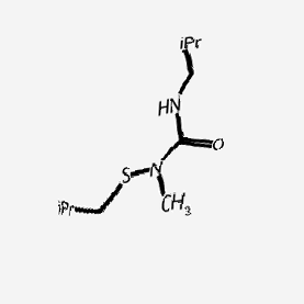 CC(C)CNC(=O)N(C)SCC(C)C